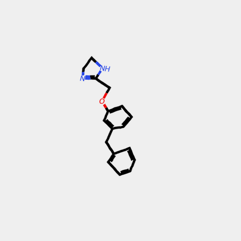 c1ccc(Cc2cccc(OCC3=NCCN3)c2)cc1